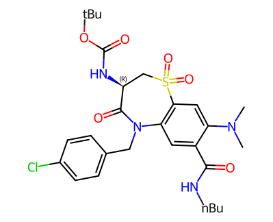 CCCCNC(=O)c1cc2c(cc1N(C)C)S(=O)(=O)C[C@H](NC(=O)OC(C)(C)C)C(=O)N2Cc1ccc(Cl)cc1